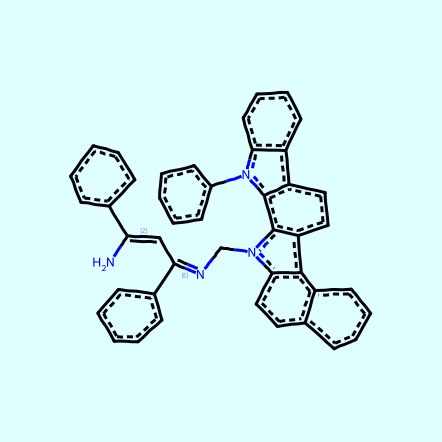 N/C(=C\C(=N/Cn1c2ccc3ccccc3c2c2ccc3c4ccccc4n(-c4ccccc4)c3c21)c1ccccc1)c1ccccc1